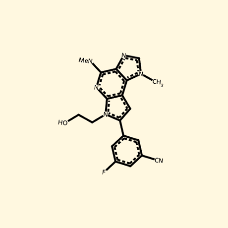 CNc1nc2c(cc(-c3cc(F)cc(C#N)c3)n2CCO)c2c1ncn2C